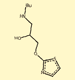 CCC(C)NCC(O)COc1nccs1